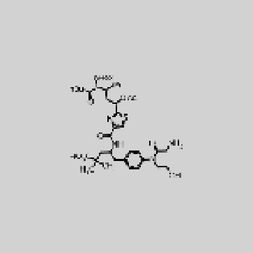 CCCCCCN(C(=O)CCCC)C(CC(OC(C)=O)c1nc(C(=O)NC(Cc2ccc(N(CCO)C(=O)CN)cc2)CC(C)(C)C(=O)O)cs1)C(C)C